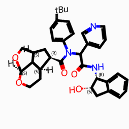 CC(C)(C)c1ccc(N(C(=O)[C@@H]2C[C@@H]3CO[C@@H]4OCC[C@H]2C34)C(C(=O)N[C@@H]2c3ccccc3C[C@@H]2O)c2cccnc2)cc1